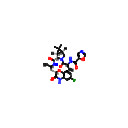 CC(C)(C)[C@H](NC(=O)c1cnco1)C(=O)N1C[C@H]2[C@@H]([C@H]1C(=O)N[C@H](C#N)C[C@@H]1Oc3ccc(F)cc3NC1=O)C2(C)C